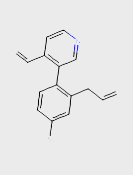 C=CCc1cc([N+](=O)[O-])ccc1-c1cnccc1C=C